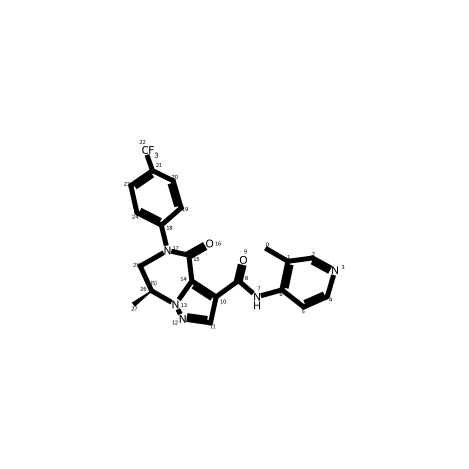 Cc1cnccc1NC(=O)c1cnn2c1C(=O)N(c1ccc(C(F)(F)F)cc1)C[C@@H]2C